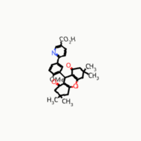 COc1ccc(-c2ccc(C(=O)O)cn2)cc1C1C2=C(CC(C)(C)CC2=O)OC2=C1C(=O)CC(C)(C)C2